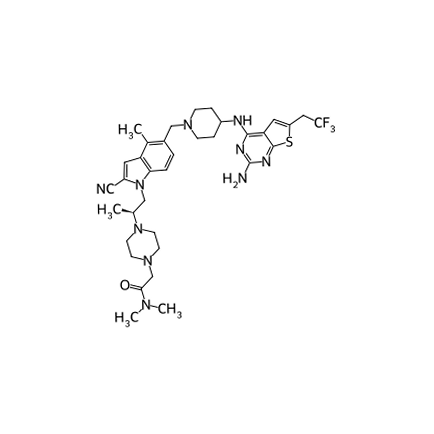 Cc1c(CN2CCC(Nc3nc(N)nc4sc(CC(F)(F)F)cc34)CC2)ccc2c1cc(C#N)n2C[C@H](C)N1CCN(CC(=O)N(C)C)CC1